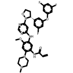 C=CC(=O)Nc1cc(Nc2cc(N3OCC[C@@H]3c3cc(F)cc(Oc4cc(F)cc(F)c4)c3)ncn2)c(OC)cc1N1CCN(C)CC1